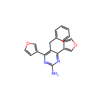 Nc1nc(-c2ccoc2)c(Cc2ccccc2)c(-c2ccoc2)n1